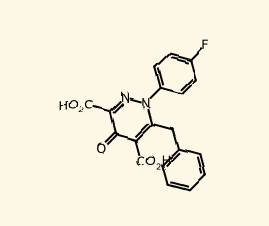 O=C(O)c1nn(-c2ccc(F)cc2)c(Cc2ccccc2)c(C(=O)O)c1=O